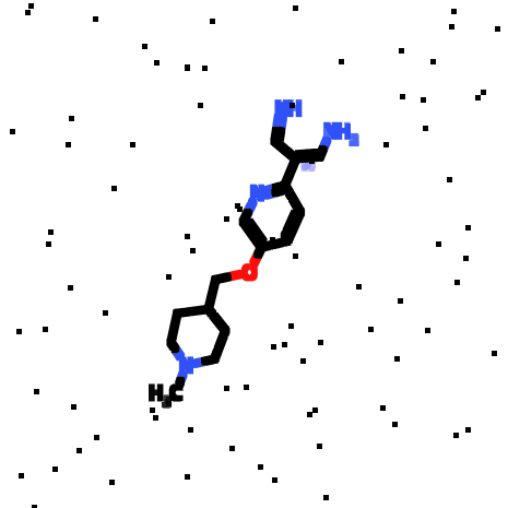 CN1CCC(COc2ccc(/C(C=N)=C/N)nc2)CC1